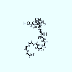 CC/C=C\C/C=C\C/C=C\C/C=C\C/C=C\C/C=C\CCC(=O)NCCSSC(C)(C)[C@H](C)C(=O)O